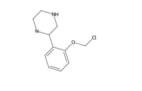 ClCOc1ccccc1C1CNCC[N]1